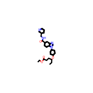 CCOC(=O)CCC(CC)Oc1ccc(-n2cnc3cc(C(=O)NCc4cccnc4)ccc32)cc1